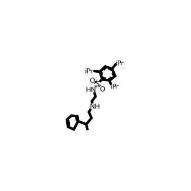 CC(CCNCCNS(=O)(=O)c1c(C(C)C)cc(C(C)C)cc1C(C)C)C1=CCC=CC1